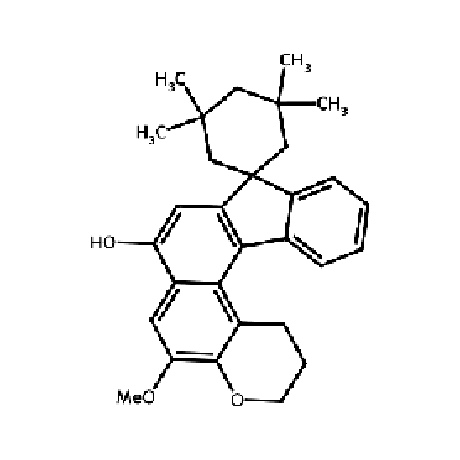 COc1cc2c(O)cc3c(c2c2c1OCCC2)-c1ccccc1C31CC(C)(C)CC(C)(C)C1